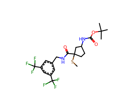 CSC1(C(=O)NCc2cc(C(F)(F)F)cc(C(F)(F)F)c2)CCC(NC(=O)OC(C)(C)C)C1